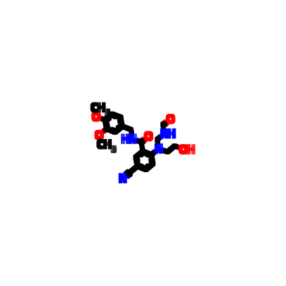 COc1ccc(CNC(=O)c2cc(C#N)ccc2N(CCO)CNC=O)cc1OC